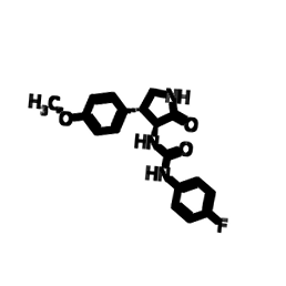 COc1ccc([C@@H]2CNC(=O)[C@H]2NC(=O)Nc2ccc(F)cc2)cc1